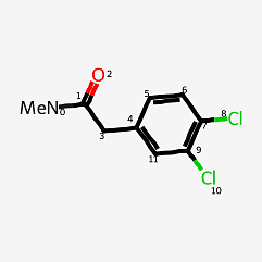 CNC(=O)Cc1ccc(Cl)c(Cl)c1